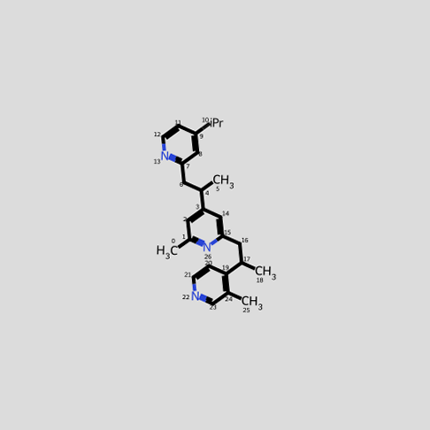 Cc1cc(C(C)Cc2cc(C(C)C)ccn2)cc(CC(C)c2ccncc2C)n1